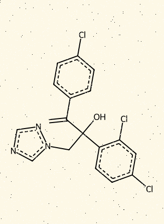 C=C(c1ccc(Cl)cc1)C(O)(Cn1cncn1)c1ccc(Cl)cc1Cl